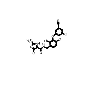 Cc1nc(Cl)c(C(=O)NCc2ccc(Cl)c(Oc3cc(Cl)cc(C#N)c3)c2Cl)[nH]1